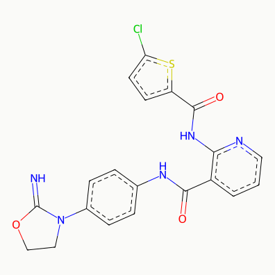 N=C1OCCN1c1ccc(NC(=O)c2cccnc2NC(=O)c2ccc(Cl)s2)cc1